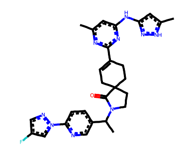 Cc1cc(Nc2cc(C)[nH]n2)nc(C2=CCC3(CC2)CCN(C(C)c2ccc(-n4cc(F)cn4)nc2)C3=O)n1